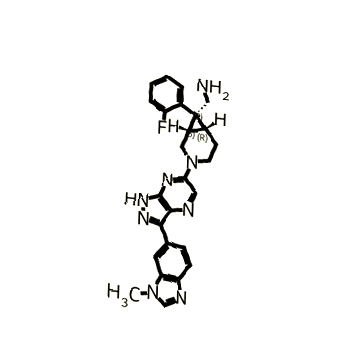 Cn1cnc2ccc(-c3n[nH]c4nc(N5CC[C@@H]6[C@H](C5)[C@@]6(CN)c5ccccc5F)cnc34)cc21